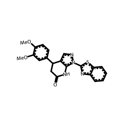 COc1ccc(C2CC(=O)Nc3c2cnn3-c2nc3ccccc3s2)cc1OC